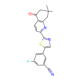 CC1(C)CC(=O)c2ccc(-c3ncc(-c4cc(F)cc(C#N)c4)s3)nc2C1